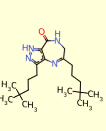 CC(C)(C)CCCC1=Nc2c(CCCC(C)(C)C)n[nH]c2C(=O)NC1